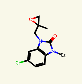 CCn1c(=O)n(CC2(C)CO2)c2cc(Cl)ccc21